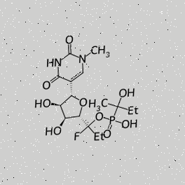 CCC(F)(OP(=O)(O)C(C)(O)CC)[C@H]1O[C@@H](c2cn(C)c(=O)[nH]c2=O)[C@H](O)[C@@H]1O